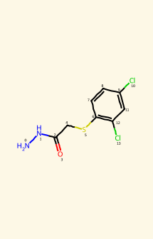 NNC(=O)CSc1ccc(Cl)cc1Cl